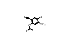 N#Cc1cc(Br)c(N)cc1OC(F)F